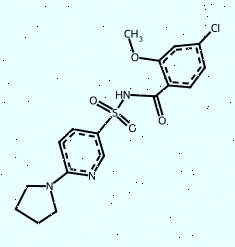 COc1cc(Cl)ccc1C(=O)NS(=O)(=O)c1ccc(N2CCCC2)nc1